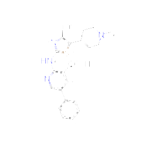 CC(C)c1nc(Nc2ncc(-c3ccccc3)cc2C(=O)O)sc1C1=CCN(C)CC1